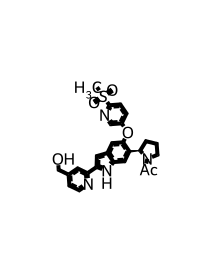 CC(=O)N1CCC[C@@H]1c1cc2[nH]c(-c3cc(CO)ccn3)cc2cc1Oc1ccc(S(C)(=O)=O)nc1